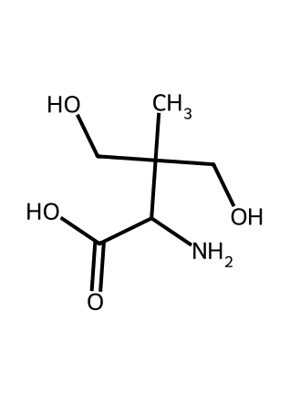 CC(CO)(CO)C(N)C(=O)O